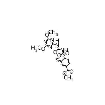 COC(=O)C1=CC(=S)C(S(=O)(=O)NC(=O)Nc2nc(OC)nc(OC)n2)C=C1